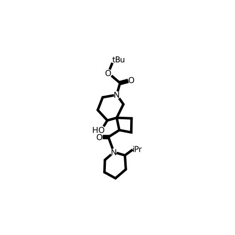 CC(C)C1CCCCN1C(=O)C1CCC12CN(C(=O)OC(C)(C)C)CCC2O